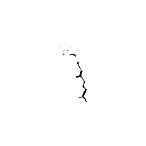 CC(C)=CCC/C(C)=C/CO[C@H](O)OP(=O)(O)O